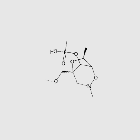 COC[C@]12CN(C)OC(C1OP(C)(=O)O)[C@H](C)O2